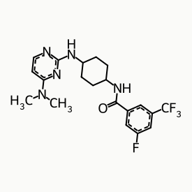 CN(C)c1ccnc(NC2CCC(NC(=O)c3cc(F)cc(C(F)(F)F)c3)CC2)n1